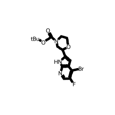 CC(C)(C)OC(=O)N1CCOC(c2cc3c(Br)c(F)cnc3[nH]2)C1